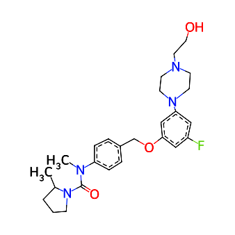 CC1CCCN1C(=O)N(C)c1ccc(COc2cc(F)cc(N3CCN(CCO)CC3)c2)cc1